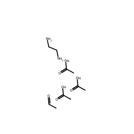 CC(=O)O.CC(=O)O.CC(=O)O.CC=O.NCCN